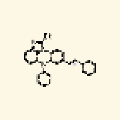 CCc1nc2cccc3c2n1-c1ccc(/C=C/c2ccccc2)cc1N3c1ccccc1